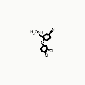 CNCc1cc(C#N)ccc1Oc1ccc(Cl)c(Cl)c1